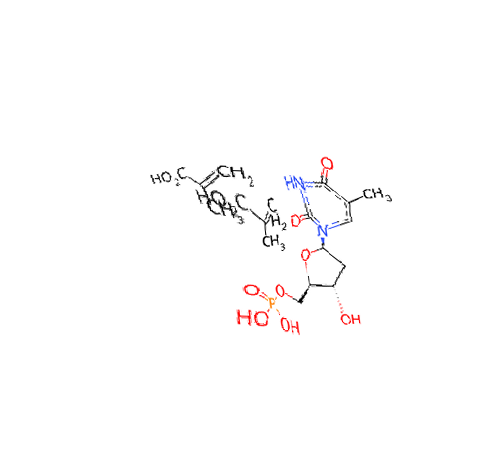 C=C(C)C(=O)O.C=C(C)C(=O)O.Cc1cn([C@H]2C[C@H](O)[C@@H](COP(=O)(O)O)O2)c(=O)[nH]c1=O